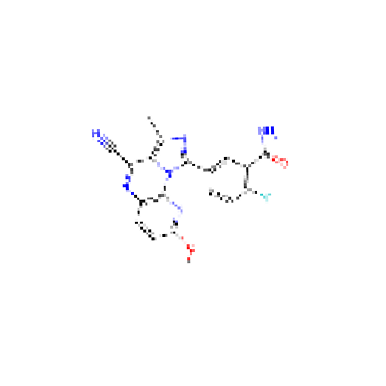 COc1ccc2nc(C#N)c3c(C)nc(-c4ccc(F)c(C(N)=O)c4)n3c2n1